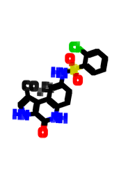 CCOC(=O)c1c[nH]c2c(=O)[nH]c3ccc(NS(=O)(=O)c4ccccc4Cl)cc3c12